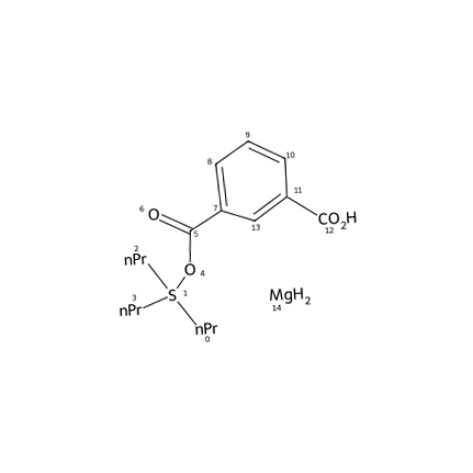 CCCS(CCC)(CCC)OC(=O)c1cccc(C(=O)O)c1.[MgH2]